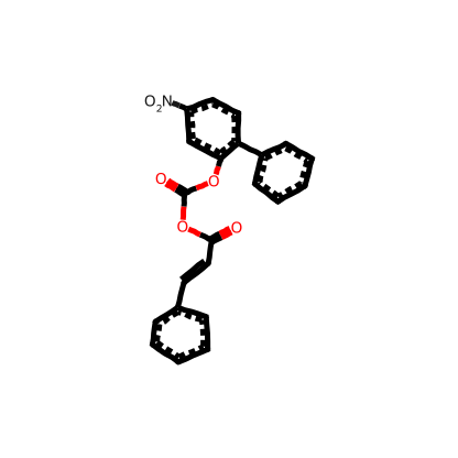 O=C(C=Cc1ccccc1)OC(=O)Oc1cc([N+](=O)[O-])ccc1-c1ccccc1